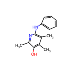 Cc1nc(Nc2ccccc2)c(C)c(C)c1O